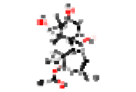 CCCC(=O)OC1CC(C=O)=CCC2C1(C=O)CCC1(C)C(C)(CO)C(O)CCC21CO